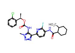 C[C@@H](OC(=O)Nc1c(-c2ccc(NC(=O)C3CCCCC3C(=O)O)c(F)n2)nnn1C)c1ccccc1Cl